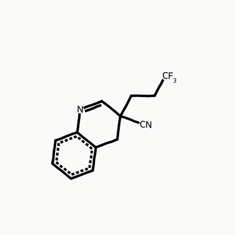 N#CC1(CCC(F)(F)F)C=Nc2ccccc2C1